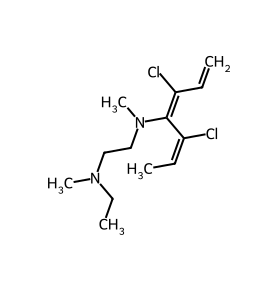 C=C/C(Cl)=C(\C(Cl)=C/C)N(C)CCN(C)CC